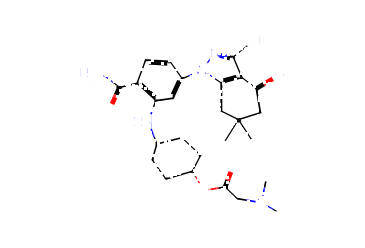 CN(C)CC(=O)OC1CCC(Nc2cc(-n3nc(C(F)(F)F)c4c3CC(C)(C)CC4=O)ccc2C(N)=O)CC1